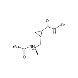 CC(C)NC(=O)C1CC1C[C@@H](C)NC(=O)C(C)(C)C